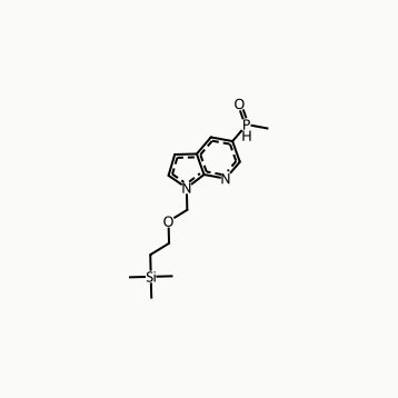 C[PH](=O)c1cnc2c(ccn2COCC[Si](C)(C)C)c1